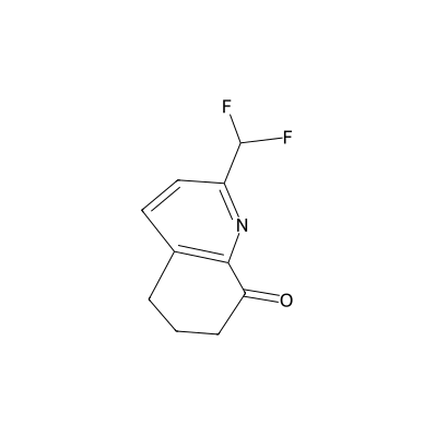 O=C1CCCc2ccc(C(F)F)nc21